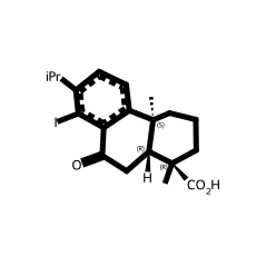 CC(C)c1ccc2c(c1I)C(=O)C[C@H]1[C@](C)(C(=O)O)CCC[C@]21C